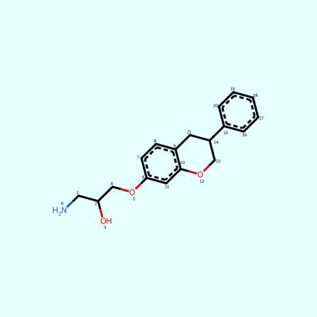 NCC(O)COc1ccc2c(c1)OCC(c1ccccc1)C2